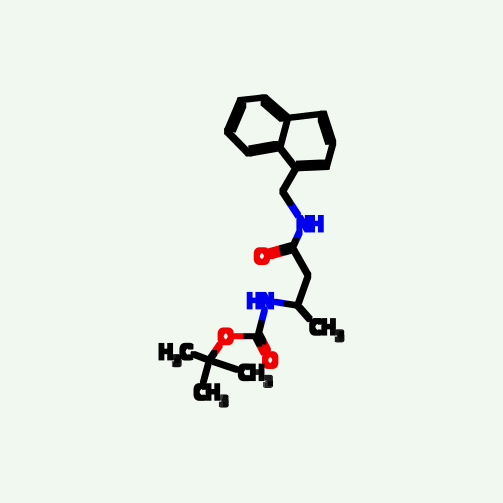 CC(CC(=O)NCc1cccc2ccccc12)NC(=O)OC(C)(C)C